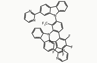 Fc1c(F)c(F)c(-c2ccc(-n3c4ccccc4c4ccc(-c5ncccn5)cc43)c(C(F)(F)F)c2-n2c3ccccc3c3ccc(-c4ncccn4)cc32)c(F)c1F